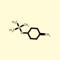 C=C1CCC(O[Si](C)(C)C)CC1